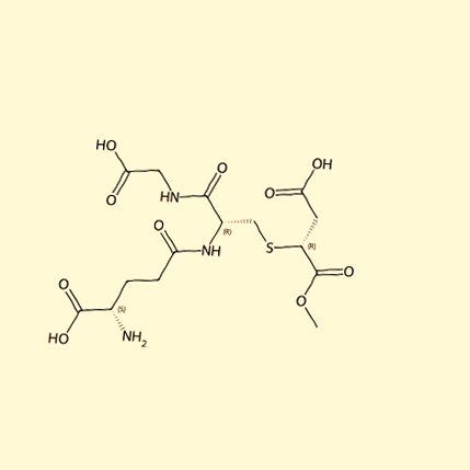 COC(=O)[C@@H](CC(=O)O)SC[C@H](NC(=O)CC[C@H](N)C(=O)O)C(=O)NCC(=O)O